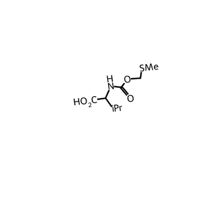 CSCOC(=O)NC(C(=O)O)C(C)C